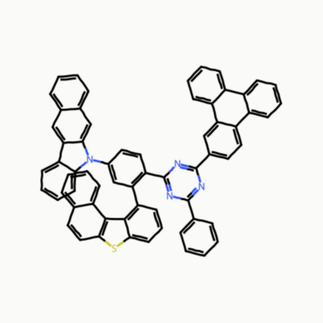 c1ccc(-c2nc(-c3ccc4c5ccccc5c5ccccc5c4c3)nc(-c3ccc(-n4c5ccccc5c5cc6ccccc6cc54)cc3-c3cccc4sc5ccc6ccccc6c5c34)n2)cc1